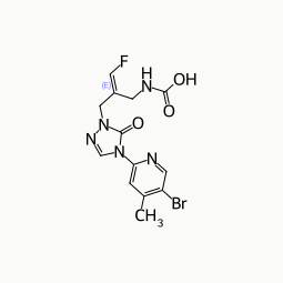 Cc1cc(-n2cnn(C/C(=C/F)CNC(=O)O)c2=O)ncc1Br